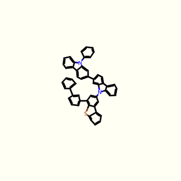 c1ccc(-c2cccc(-c3cc(-n4c5ccccc5c5ccc(-c6ccc7c8ccccc8n(-c8ccccc8)c7c6)cc54)cc4c3sc3ccccc34)c2)cc1